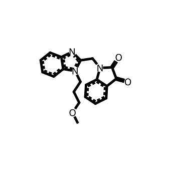 COCCCn1c(CN2C(=O)C(=O)c3ccccc32)nc2ccccc21